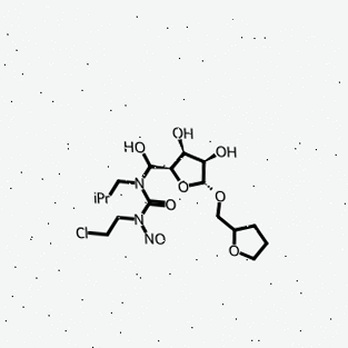 CC(C)CN(C(=O)N(CCCl)N=O)C(O)[C@@H]1O[C@@H](OCC2CCCO2)[C@H](O)[C@@H]1O